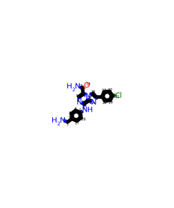 NCc1ccc(Nc2ncc(C(N)=O)n3cc(-c4ccc(Cl)cc4)nc23)cc1